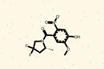 COc1cc(C(=O)N2CC(F)(F)C[C@H]2C)c([N+](=O)[O-])cc1O